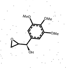 COc1cc([C@@H](O)C2CO2)cc(OC)c1OC